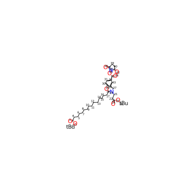 CC(C)(C)OC(=O)CCCCCCCCCCCCCCC(=O)N(CCC(=O)OC(C)(C)C)Cc1cccc(C(=O)ON2C(=O)CCC2=O)c1